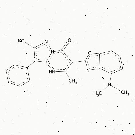 Cc1[nH]c2c(-c3ccccc3)c(C#N)nn2c(=O)c1-c1nc2c(N(C)C)cccc2o1